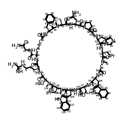 CCCC[C@H]1C(=O)N[C@@H](CCCNC(=N)N)C(=O)N[C@H](C(=O)NCC(N)=O)CSCC(=O)N[C@@H](Cc2ccccc2)C(=O)N(C)[C@@H](C)C(=O)N[C@@H](CC(N)=O)C(=O)N2CCC[C@H]2C(=O)N[C@@H](Cc2cnc[nH]2)C(=O)N[C@@H](CC(C)C)C(=O)N(C)CC(=O)N[C@@H](Cc2c[nH]c3ccccc23)C(=O)N[C@@H](CO)C(=O)N[C@@H](Cc2c[nH]c3ccccc23)C(=O)N(C)[C@@H](CC(C)C)C(=O)N1C